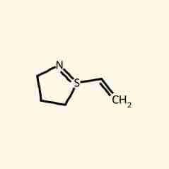 C=CS1=NCCC1